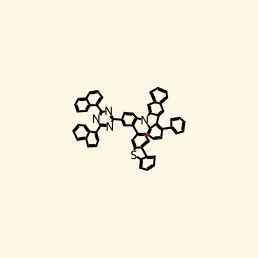 c1ccc(-c2cccc3c2c2cc4ccccc4cc2n3-c2ccc(-c3nc(-c4cccc5ccccc45)nc(-c4cccc5ccccc45)n3)cc2-c2ccc3c(c2)sc2ccccc23)cc1